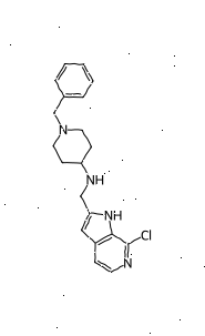 Clc1nccc2cc(CNC3CCN(Cc4ccccc4)CC3)[nH]c12